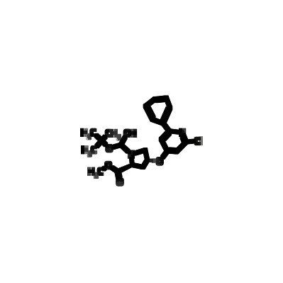 COC(=O)[C@@H]1C[C@@H](Oc2cc(Cl)nc(-c3ccccc3)c2)CN1C(O)OC(C)(C)C